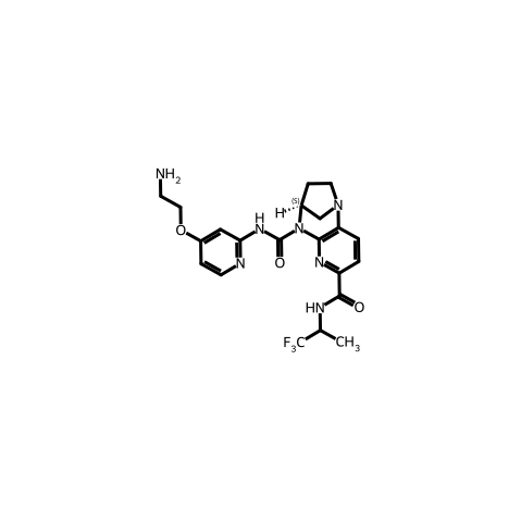 CC(NC(=O)c1ccc2c(n1)N(C(=O)Nc1cc(OCCN)ccn1)[C@H]1CCN2C1)C(F)(F)F